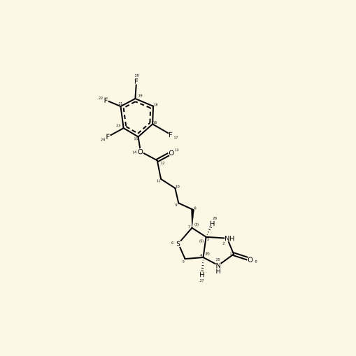 O=C1N[C@H]2[C@H](CS[C@H]2CCCCC(=O)Oc2c(F)cc(F)c(F)c2F)N1